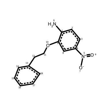 Nc1ccc([N+](=O)[O-])cc1OCCc1ccccc1